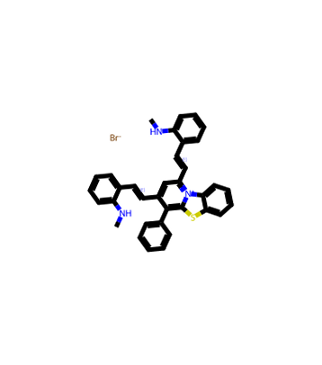 CNc1ccccc1/C=C/c1cc(/C=C/c2ccccc2NC)[n+]2c(sc3ccccc32)c1-c1ccccc1.[Br-]